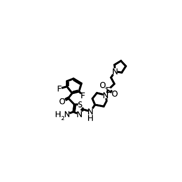 Nc1nc(NC2CCN(S(=O)(=O)CCN3CCCC3)CC2)sc1C(=O)c1c(F)cccc1F